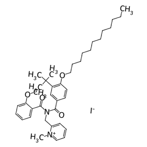 CCCCCCCCCCCCOc1ccc(C(=O)N(Cc2cccc[n+]2C)C(=O)c2ccccc2OC)cc1C(C)(C)C.[I-]